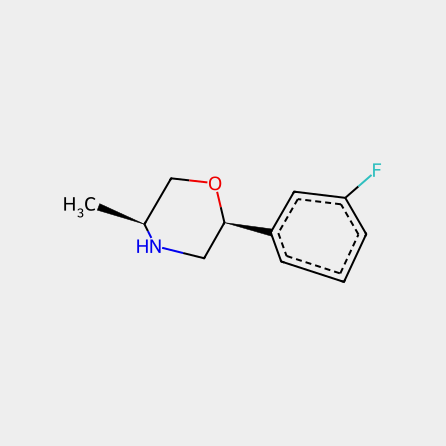 C[C@H]1CO[C@@H](c2cccc(F)c2)CN1